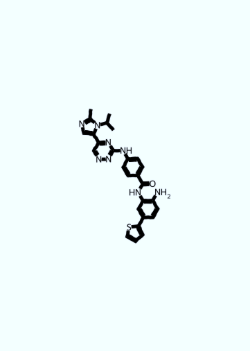 Cc1ncc(-c2cnnc(Nc3ccc(C(=O)Nc4cc(-c5cccs5)ccc4N)cc3)n2)n1C(C)C